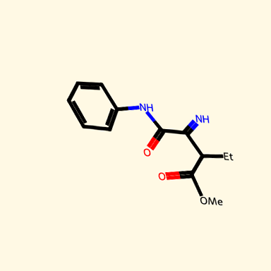 CCC(C(=N)C(=O)Nc1ccccc1)C(=O)OC